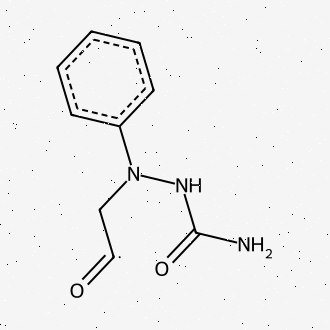 NC(=O)NN(C[C]=O)c1ccccc1